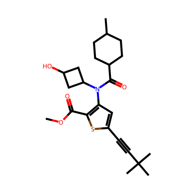 COC(=O)c1sc(C#CC(C)(C)C)cc1N(C(=O)C1CCC(C)CC1)C1CC(O)C1